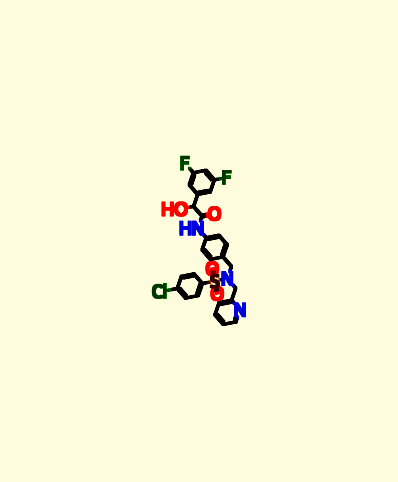 O=C(Nc1ccc(CN(Cc2ccccn2)S(=O)(=O)c2ccc(Cl)cc2)cc1)C(O)c1cc(F)cc(F)c1